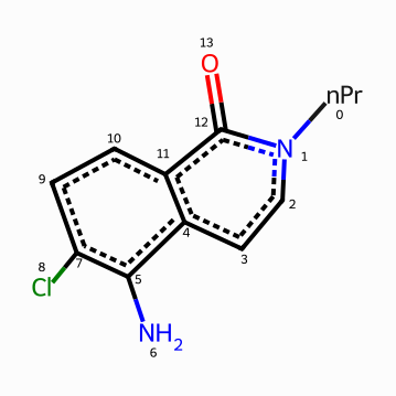 CCCn1ccc2c(N)c(Cl)ccc2c1=O